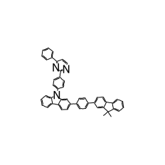 CC1(C)c2ccccc2-c2ccc(-c3ccc(-c4ccc5c6ccccc6n(-c6ccc(-c7nccc(-c8ccccc8)n7)cc6)c5c4)cc3)cc21